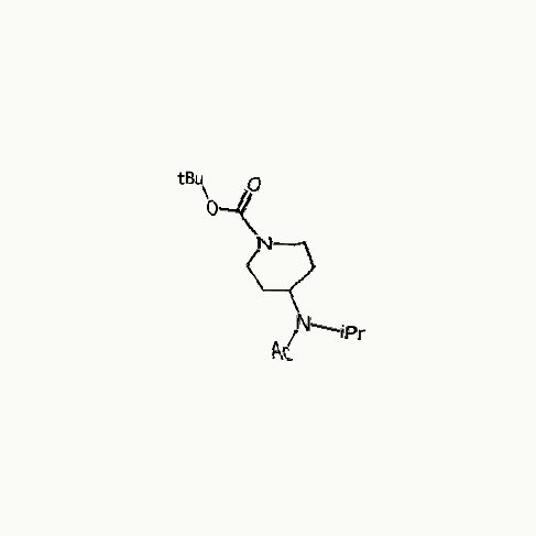 CC(=O)N(C(C)C)C1CCN(C(=O)OC(C)(C)C)CC1